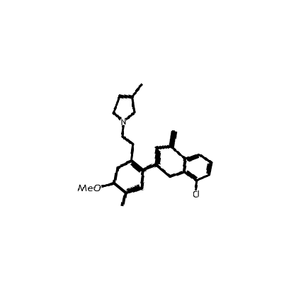 C=C1C=C(C2=C(CCN3CCC(C)C3)CC(OC)C(C)=C2)Cc2c(Cl)cccc21